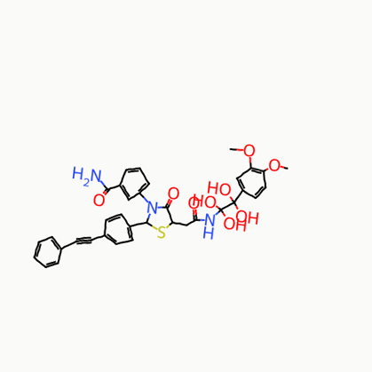 COc1ccc(C(O)(O)C(O)(O)NC(=O)CC2SC(c3ccc(C#Cc4ccccc4)cc3)N(c3cccc(C(N)=O)c3)C2=O)cc1OC